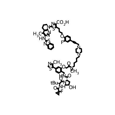 Cc1ncsc1-c1ccc(CNC(=O)[C@@H]2C[C@@H](O)CN2C(=O)[C@@H](NC(=O)C2(F)CC2)C(C)(C)C)c(OCC(=O)N(C)CCCCCN2CCN(CC#Cc3ccc(OCCCc4sc(N5CCCc6c5nnc(Nc5nc7ccccc7s5)c6C)nc4C(=O)O)c(F)c3)CC2)c1